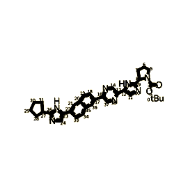 CC(C)(C)OC(=O)N1CCCC1c1ncc(-c2cnc(-c3ccc4cc(-c5cnc(C6CCCC6)[nH]5)ccc4c3)cn2)[nH]1